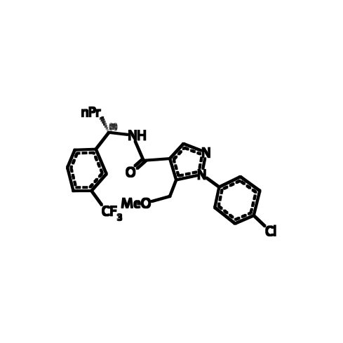 CCC[C@H](NC(=O)c1cnn(-c2ccc(Cl)cc2)c1COC)c1cccc(C(F)(F)F)c1